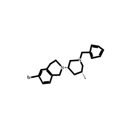 C[C@@H]1C[C@H](N2CCc3cc(Br)ccc3C2)CN(Cc2ccccc2)C1